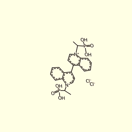 CC([n+]1ccc(-c2cc[n+](C(C)P(=O)(O)O)c3ccccc23)c2ccccc21)P(=O)(O)O.[Cl-].[Cl-]